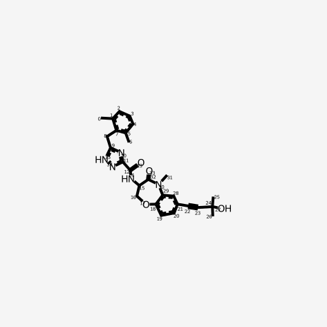 Cc1cccc(C)c1Cc1nc(C(=O)NC2COc3ccc(C#CC(C)(C)O)cc3N(C)C2=O)n[nH]1